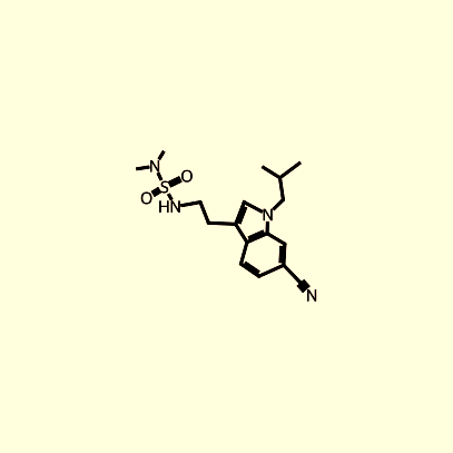 CC(C)Cn1cc(CCNS(=O)(=O)N(C)C)c2ccc(C#N)cc21